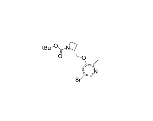 Cc1ncc(Br)cc1OC[C@H]1CCN1C(=O)OC(C)(C)C